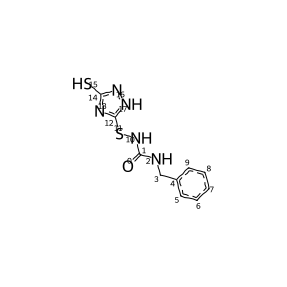 O=C(NCc1ccccc1)NSc1nc(S)n[nH]1